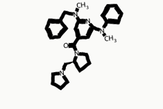 CN(Cc1ccccc1)c1cc(C(=O)N2CCC[C@H]2CN2CCCC2)cc(N(C)c2ccccc2)n1